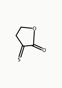 O=C1OCCC1=S